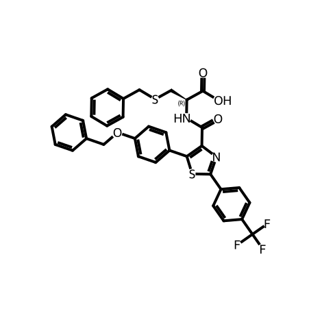 O=C(N[C@@H](CSCc1ccccc1)C(=O)O)c1nc(-c2ccc(C(F)(F)F)cc2)sc1-c1ccc(OCc2ccccc2)cc1